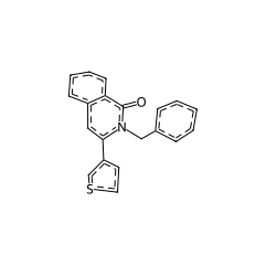 O=c1c2ccccc2cc(-c2ccsc2)n1Cc1ccccc1